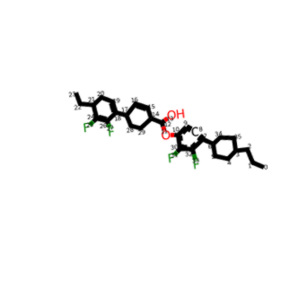 CCCC1CCC(c2ccc(OC(O)C3C=CC(C4=CCC(CC)C(F)=C4F)CC3)c(F)c2F)CC1